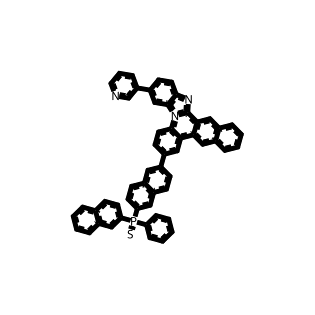 S=P(c1ccccc1)(c1ccc2ccccc2c1)c1ccc2cc(-c3ccc4c(c3)c3cc5ccccc5cc3c3nc5ccc(-c6cccnc6)cc5n43)ccc2c1